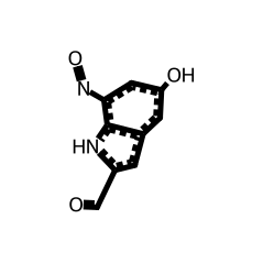 O=Cc1cc2cc(O)cc(N=O)c2[nH]1